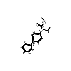 CCN(C(=O)NC)c1ccc(-c2ccccc2)cc1